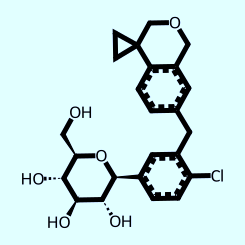 OC[C@H]1O[C@@H](c2ccc(Cl)c(Cc3ccc4c(c3)COCC43CC3)c2)[C@H](O)[C@@H](O)[C@@H]1O